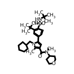 Cc1c(C(=O)N(C)C2CCOCC2)cc(-c2ccc(S(=O)(=O)NC(C)(C)C)c(C(C)(C)C)c2)n1CC1CCCCC1